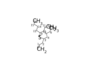 C=CCC(CCCC)SC(CC=C)CCCC